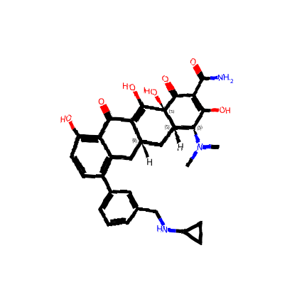 CN(C)[C@@H]1C(O)=C(C(N)=O)C(=O)[C@@]2(O)C(O)=C3C(=O)c4c(O)ccc(-c5cccc(CNC6CC6)c5)c4C[C@H]3C[C@@H]12